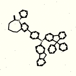 C=C1CCCCCc2cc(-c3ccc(N(c4ccc5c(c4)Cc4ccccc4-5)c4ccc5c(c4)C(c4ccccc4)(c4ccccc4)c4ccccc4-5)cc3)ccc2N1c1ccccc1